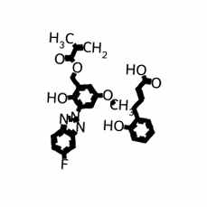 C=C(C)C(=O)OCc1cc(OC)cc(-n2nc3ccc(F)cc3n2)c1O.O=C(O)C=CCc1ccccc1O